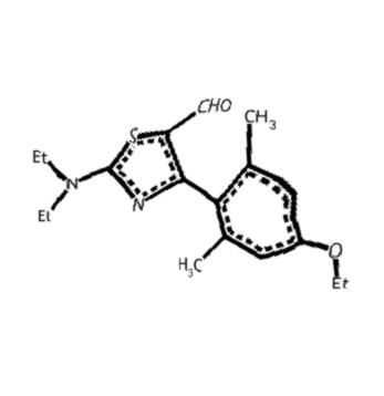 CCOc1cc(C)c(-c2nc(N(CC)CC)sc2C=O)c(C)c1